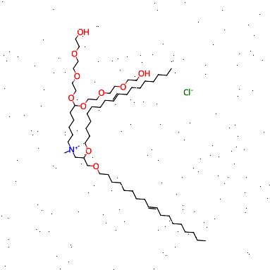 CCCCCCCCC=CCCCCCCCCOCC(C[N+](C)(C)CCCCCC(OCCOCCOCCO)OCCOCCOCCO)OCCCCCCCCC=CCCCCCCCC.[Cl-]